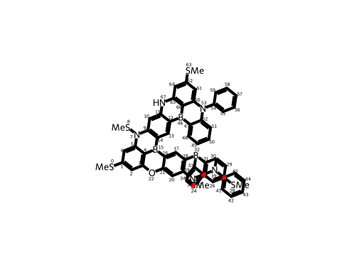 CSc1cc2c3c(c1)N(SC)c1cc4c(cc1B3c1cc3c(cc1O2)N(SC)c1cc(SC)cc2c1B3c1ccccc1N2c1ccccc1)B1c2ccccc2N(c2ccccc2)c2cc(SC)cc(c21)N4